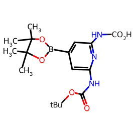 CC(C)(C)OC(=O)Nc1cc(B2OC(C)(C)C(C)(C)O2)cc(NC(=O)O)n1